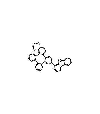 c1ccc2c(c1)-c1cc(-c3cccc4c3oc3ccccc34)ccc1-c1ccc3nccnc3c1-c1ccccc1-2